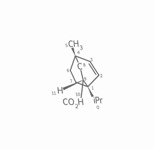 CC(C)[C@@]12C=C[C@@](C)(CC1)C[C@H]2C(=O)O